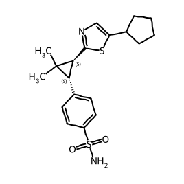 CC1(C)[C@@H](c2ccc(S(N)(=O)=O)cc2)[C@@H]1c1ncc(C2CCCC2)s1